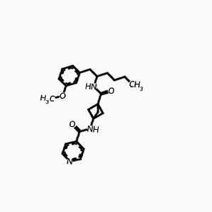 CCCCC(Cc1cccc(OC)c1)NC(=O)C12CC(NC(=O)c3ccncc3)(C1)C2